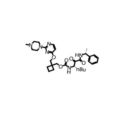 CCCC[C@H](NC(=O)OCC1(COc2ccnc(N3CCN(C)CC3)n2)CCC1)C(=O)C(=O)N[C@H](C)c1ccccc1